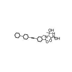 CC(C)(O)[C@@H](C(=O)NO)N1Cc2cc(C#Cc3ccc(-c4ccccc4)cc3)ccc2C1=O